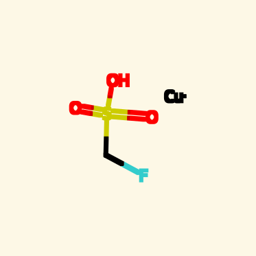 O=S(=O)(O)CF.[Cu]